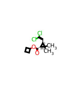 CC1(C)[C@H](C=C(Cl)Cl)[C@H]1C(=O)OC1CCC1